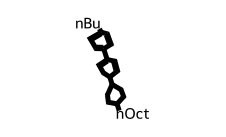 CCCCCCCCC1CCC(C2C=CC(c3ccc(CCCC)cc3)=CC2)CC1